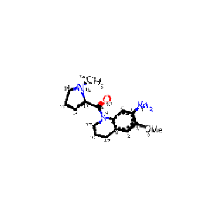 COc1cc2c(cc1N)N(C(=O)C1CCCN1C)CCC2